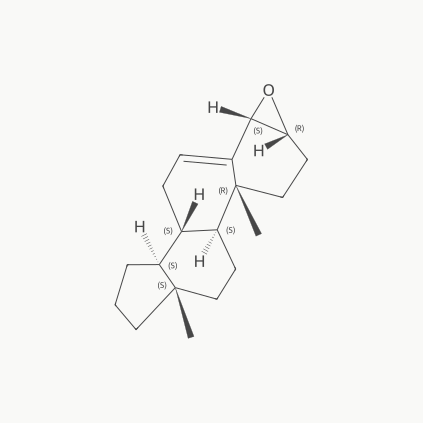 C[C@@]12CCC[C@H]1[C@@H]1CC=C3[C@@H]4O[C@@H]4CC[C@]3(C)[C@H]1CC2